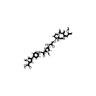 C=C(/C=C1/N=C[C@@H]2[C@@H](OCC(=O)Nc3cn(C)c(C(=O)Nc4ccc(-c5cc(C(=O)OC)n(C)c5)cc4)n3)CCN2C(=C)C1=C)OC